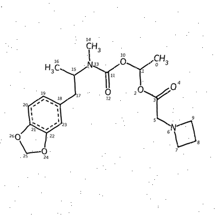 CC(OC(=O)CN1CCC1)OC(=O)N(C)C(C)Cc1ccc2c(c1)OCO2